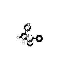 C[C@H](c1ccccc1)[C@H]1CCCN1c1nc(N2CCOCC2)cc(=O)[nH]1